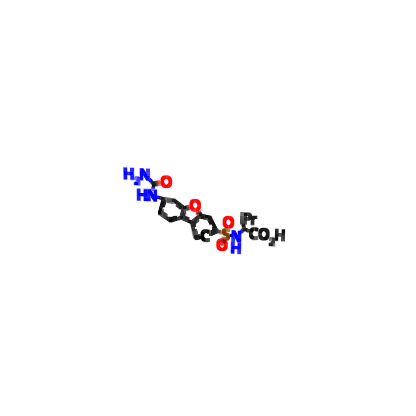 CC(C)[C@H](NS(=O)(=O)c1ccc2c(c1)oc1cc(NC(N)=O)ccc12)C(=O)O